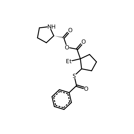 CCC1(C(=O)OC(=O)[C@@H]2CCCN2)CCCC1SC(=O)c1ccccc1